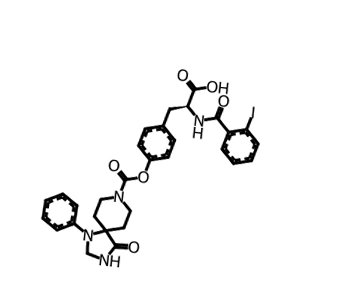 O=C(N[C@@H](Cc1ccc(OC(=O)N2CCC3(CC2)C(=O)NCN3c2ccccc2)cc1)C(=O)O)c1ccccc1I